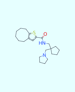 O=C(NCC1(CN2CCCC2)CCCC1)c1cc2c(s1)CCCCCC2